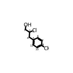 OCC(Cl)Cc1ccc(Cl)cc1